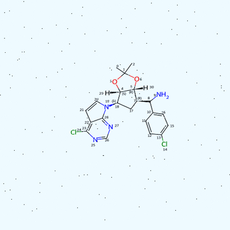 CC1(C)O[C@@H]2[C@H](O1)[C@@H](C(N)c1ccc(Cl)cc1)C[C@H]2n1ccc2c(Cl)ncnc21